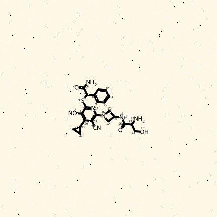 N#Cc1c(SC(C(N)=O)c2ccccc2)nc(N2CC(NC(=O)C(N)CO)C2)c(C#N)c1C1CC1